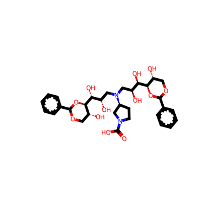 O=C(O)N1CC[C@H](N(C[C@H](O)[C@@H](O)[C@@H]2OC(c3ccccc3)OC[C@H]2O)C[C@H](O)[C@@H](O)[C@@H]2OC(c3ccccc3)OC[C@H]2O)C1